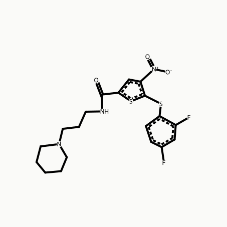 O=C(NCCCN1CCCCC1)c1cc([N+](=O)[O-])c(Sc2ccc(F)cc2F)s1